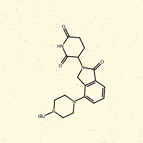 CC(C)(C)N1CCN(c2cccc3c2CN(C2CCC(=O)NC2=O)C3=O)CC1